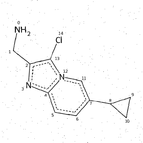 NCc1nc2ccc(C3CC3)cn2c1Cl